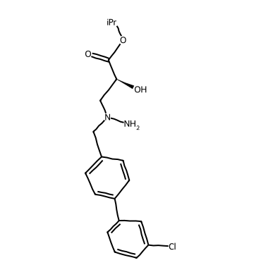 CC(C)OC(=O)[C@@H](O)CN(N)Cc1ccc(-c2cccc(Cl)c2)cc1